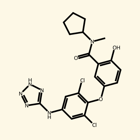 CN(C(=O)c1cc(Oc2c(Cl)cc(Nc3nn[nH]n3)cc2Cl)ccc1O)C1CCCC1